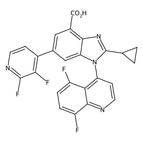 O=C(O)c1cc(-c2ccnc(F)c2F)cc2c1nc(C1CC1)n2-c1ccnc2c(F)ccc(F)c12